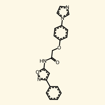 O=C(COc1ccc(-n2ccnc2)cc1)Nc1cc(-c2ccccc2)no1